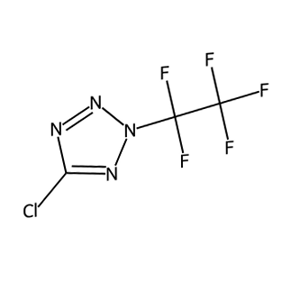 FC(F)(F)C(F)(F)n1nnc(Cl)n1